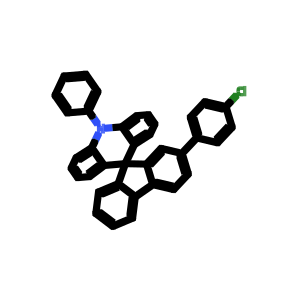 Clc1ccc(-c2ccc3c(c2)C2(c4ccccc4-3)c3ccccc3N(c3ccccc3)c3ccccc32)cc1